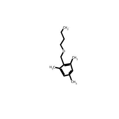 [CH2]CCCOCc1c(C)cc(C)cc1C